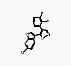 Fc1cccc(-c2cnoc2-c2c[nH]c3nc(Cl)ccc23)c1F